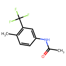 CC(=O)Nc1ccc(C)c(C(F)(F)F)c1